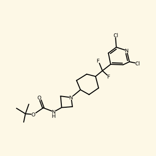 CC(C)(C)OC(=O)NC1CN(C2CCC(C(F)(F)c3cc(Cl)nc(Cl)c3)CC2)C1